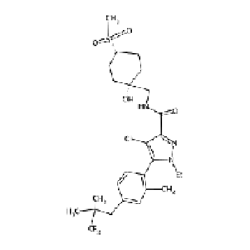 CCn1nc(C(=O)NC[C@]2(O)CC[C@@H](S(C)(=O)=O)CC2)c(Cl)c1-c1ccc(CC(C)(C)C(F)(F)F)cc1C